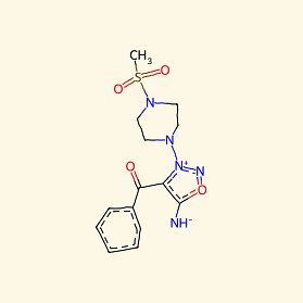 CS(=O)(=O)N1CCN([n+]2noc([NH-])c2C(=O)c2ccccc2)CC1